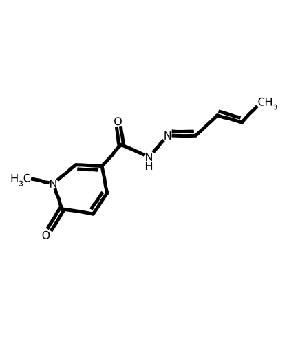 C/C=C/C=N/NC(=O)c1ccc(=O)n(C)c1